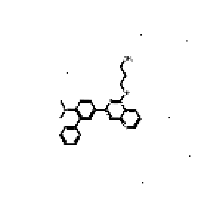 CN(C)c1ccc(-c2cc3ncccc3c(NCCCN)n2)cc1-c1ccccc1